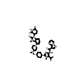 CN(C[C@H]1CC[C@H](c2nc(NC(=O)c3cnn4cccnc34)c(C(F)F)n2C)CC1)C1CCN(c2cccc3c2n(C)c(=O)n3C2CCC(=O)NC2=O)CC1